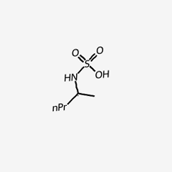 CCC[C](C)NS(=O)(=O)O